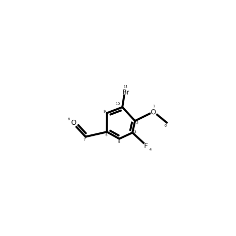 COc1c(F)cc(C=O)cc1Br